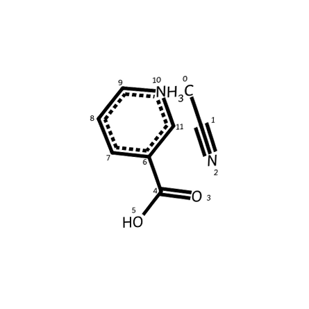 CC#N.O=C(O)c1cccnc1